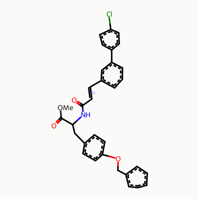 COC(=O)C(Cc1ccc(OCc2ccccc2)cc1)NC(=O)/C=C/c1cccc(-c2ccc(Cl)cc2)c1